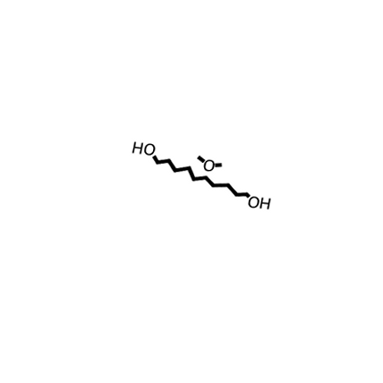 COC.OCCCCCCCCCCO